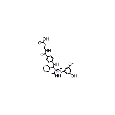 COc1cc(O)cc(N/C=C(\C(C)=N)C(Nc2ccc(C(=O)NCCC(=O)O)cc2)C2CCCCC2)c1